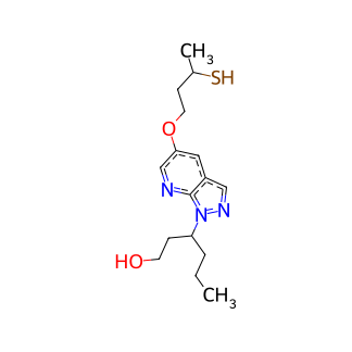 CCCC(CCO)n1ncc2cc(OCCC(C)S)cnc21